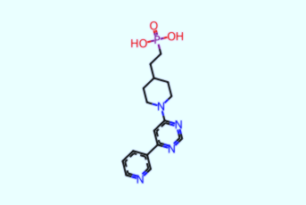 O=P(O)(O)CCC1CCN(c2cc(-c3cccnc3)ncn2)CC1